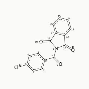 O=C(c1ccc(Cl)cc1)N1C(=O)c2ccccc2C1=O